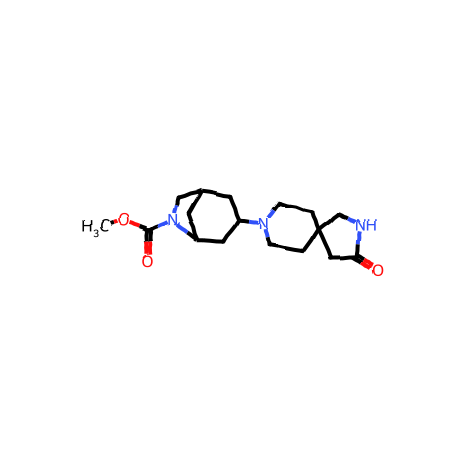 COC(=O)N1CC2CC(N3CCC4(CC3)CNC(=O)C4)CC1C2